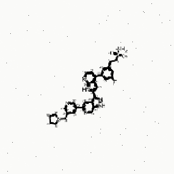 NS(=O)(=O)CCc1cc(F)cc(-c2ccnc3[nH]c(-c4n[nH]c5cnc(-c6cncc(CN7CCCC7)c6)cc45)cc23)c1